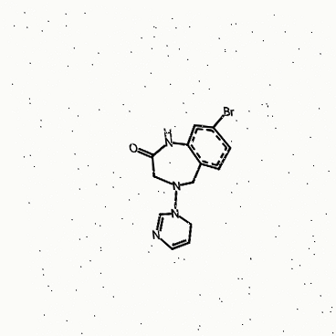 O=C1CN(N2C=NC=CC2)Cc2ccc(Br)cc2N1